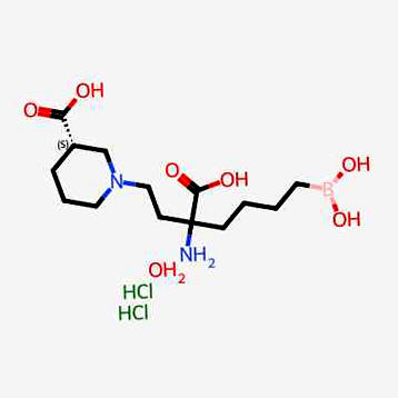 Cl.Cl.NC(CCCCB(O)O)(CCN1CCC[C@H](C(=O)O)C1)C(=O)O.O